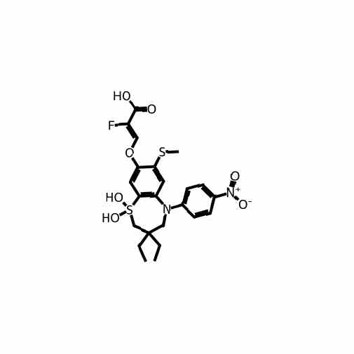 CCC1(CC)CN(c2ccc([N+](=O)[O-])cc2)c2cc(SC)c(OC=C(F)C(=O)O)cc2S(O)(O)C1